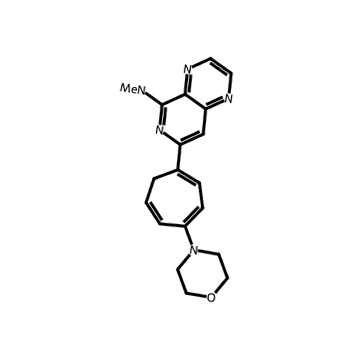 CNc1nc(C2=CC=C(N3CCOCC3)C=CC2)cc2nccnc12